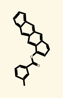 Cc1cccc(C(=O)Oc2cccc3cc4cc5ccccc5cc4cc23)c1